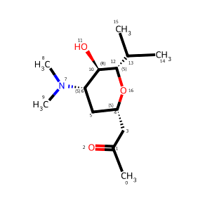 CC(=O)C[C@@H]1C[C@H](N(C)C)[C@@H](O)[C@H](C(C)C)O1